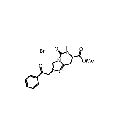 COC(=O)C1CC2=[C+]N(CC(=O)c3ccccc3)CN2C(=O)N1.[Br-]